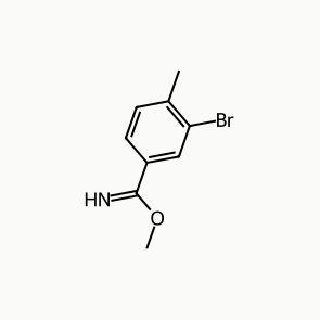 COC(=N)c1ccc(C)c(Br)c1